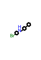 Brc1ccc(NCc2ccc(-c3ccccc3)cc2)cc1